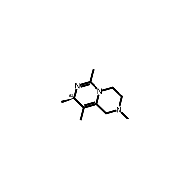 CC1=N[C@H](C)C(C)=C2CN(C)CCN12